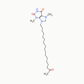 CC(=O)CCCCCCCCCCCCCCCN1CN(C)c2c1n(C)c(=O)[nH]c2=O